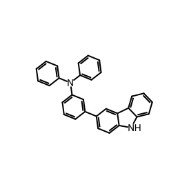 c1ccc(N(c2ccccc2)c2cccc(-c3ccc4[nH]c5ccccc5c4c3)c2)cc1